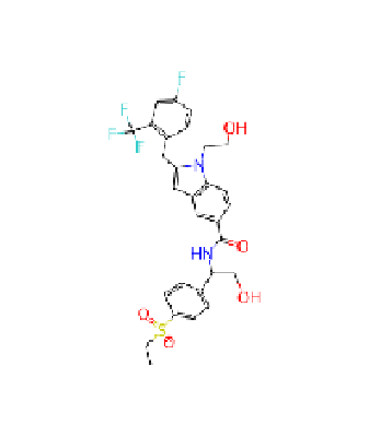 CCS(=O)(=O)c1ccc(C(CO)NC(=O)c2ccc3c(c2)cc(Cc2ccc(F)cc2C(F)(F)F)n3CCO)cc1